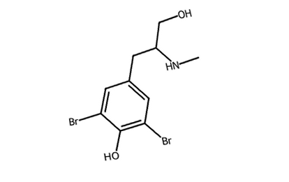 CNC(CO)Cc1cc(Br)c(O)c(Br)c1